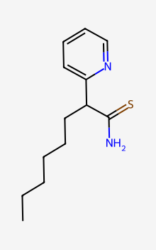 CCCCCCC(C(N)=S)c1ccccn1